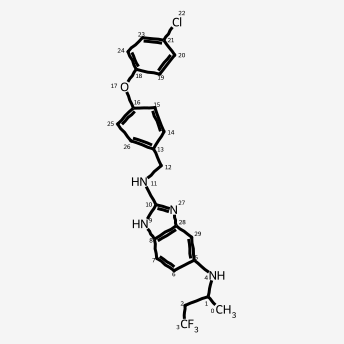 CC(CC(F)(F)F)Nc1ccc2[nH]c(NCc3ccc(Oc4ccc(Cl)cc4)cc3)nc2c1